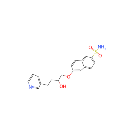 NS(=O)(=O)c1ccc2cc(OCC(O)CCc3cccnc3)ccc2c1